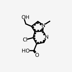 Cn1cc(CO)c2c(Cl)c(C(=O)O)cnc21